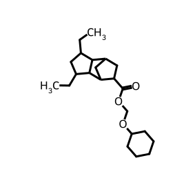 CCC1CC(CC)C2C3CC(CC3C(=O)OCOC3CCCCC3)C12